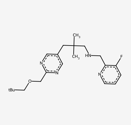 CC(C)(C)COCc1ncc(CC(C)(C)CNCc2ncccc2F)cn1